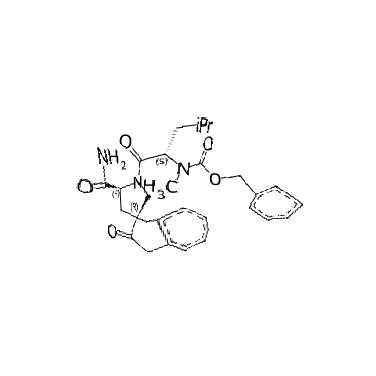 CC(C)C[C@@H](C(=O)N1C[C@]2(C[C@H]1C(N)=O)C(=O)Cc1ccccc12)N(C)C(=O)OCc1ccccc1